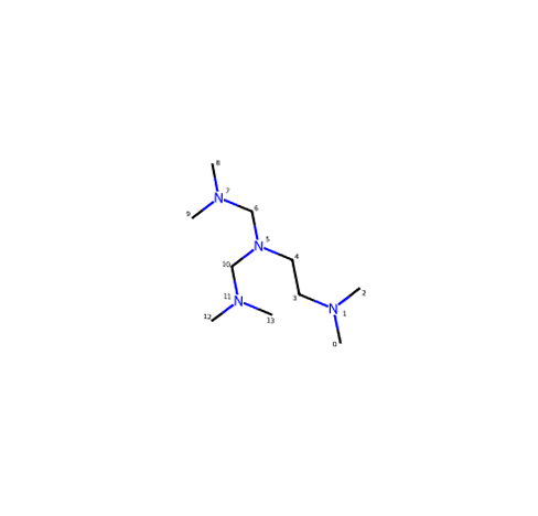 CN(C)CCN(CN(C)C)CN(C)C